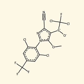 COc1c([S+]([O-])C(F)(Cl)Cl)c(C#N)nn1-c1c(Cl)cc(C(F)(F)F)cc1Cl